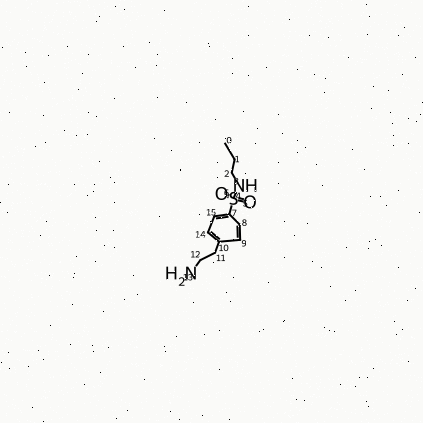 CCCNS(=O)(=O)c1ccc(CCN)cc1